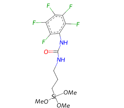 CO[Si](CCCNC(=O)Nc1c(F)c(F)c(F)c(F)c1F)(OC)OC